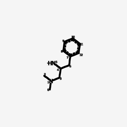 CN(C)CC([NH])Cc1ccccc1